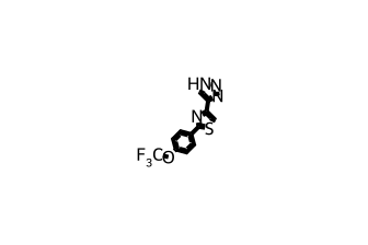 FC(F)(F)Oc1ccc(-c2nc(-c3c[nH]nn3)cs2)cc1